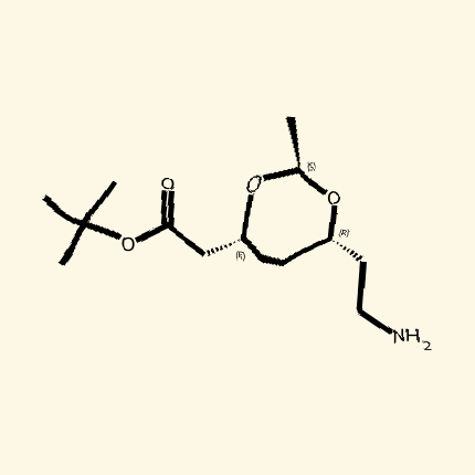 C[C@H]1O[C@H](CCN)C[C@H](CC(=O)OC(C)(C)C)O1